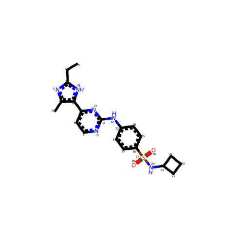 CCc1nc(C)c(-c2ccnc(Nc3ccc(S(=O)(=O)NC4CCC4)cc3)n2)[nH]1